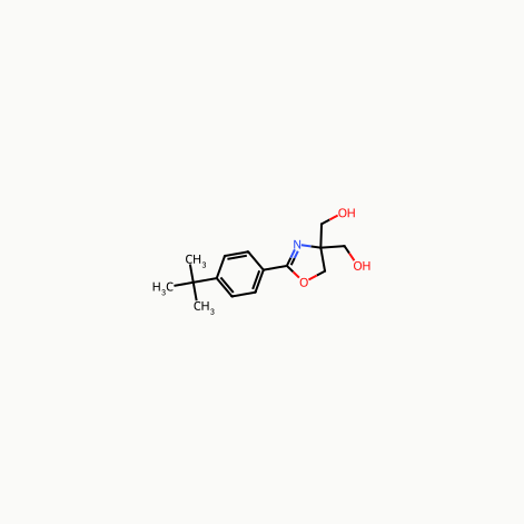 CC(C)(C)c1ccc(C2=NC(CO)(CO)CO2)cc1